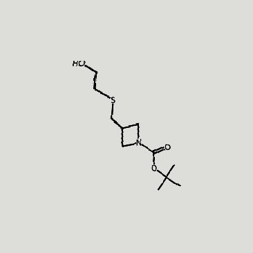 CC(C)(C)OC(=O)N1CC(CSCCO)C1